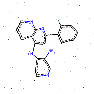 Nc1cnccc1Nc1cc(-c2ccccc2F)nc2ncccc12